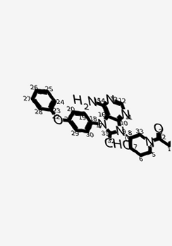 C=CC(=O)N1CCC[C@H](N2c3ncnc(N)c3N(c3ccc(Oc4ccccc4)cc3)C2C=O)C1